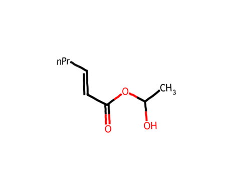 CCCC=CC(=O)OC(C)O